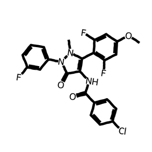 COc1cc(F)c(-c2c(NC(=O)c3ccc(Cl)cc3)c(=O)n(-c3cccc(F)c3)n2C)c(F)c1